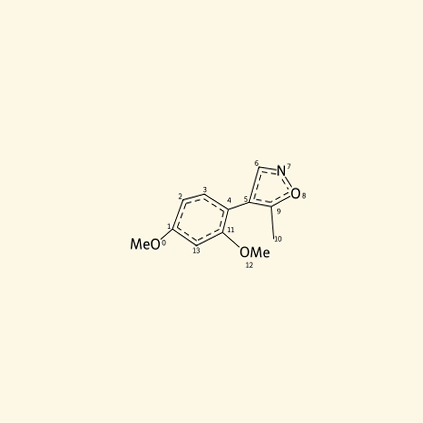 COc1ccc(-c2cnoc2C)c(OC)c1